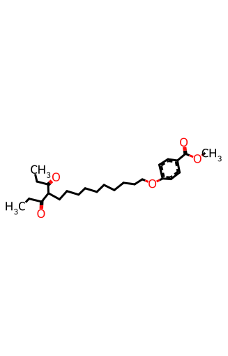 CCC(=O)C(CCCCCCCCCCOc1ccc(C(=O)OC)cc1)C(=O)CC